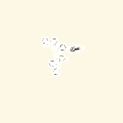 CC=[N+](c1cccc(-c2ccccn2)n1)c1c(C)cc(C)cc1Cc1cc(C)cc(C)c1[N+](=CC)c1cccc(-c2ccccn2)n1.[Br-].[Br-].[Br-].[Br-].[Co+2].[Co+2]